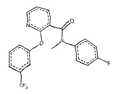 CN(C(=O)c1cccnc1Oc1cccc(C(F)(F)F)c1)c1ccc(F)cc1